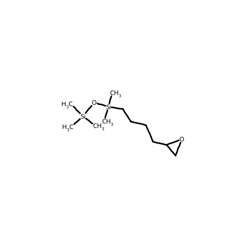 C[Si](C)(C)O[Si](C)(C)CCCCC1CO1